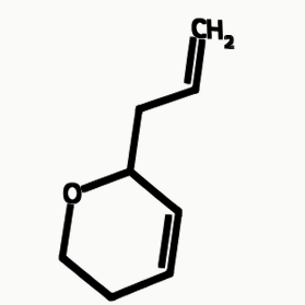 C=CCC1C=CCCO1